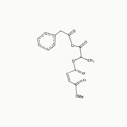 COC(=O)/C=C\C(=O)OC(C)C(=O)OC(=O)Cc1ccccc1